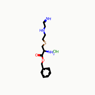 Cl.N=CCNCCSCC(N)C(=O)OCc1ccccc1